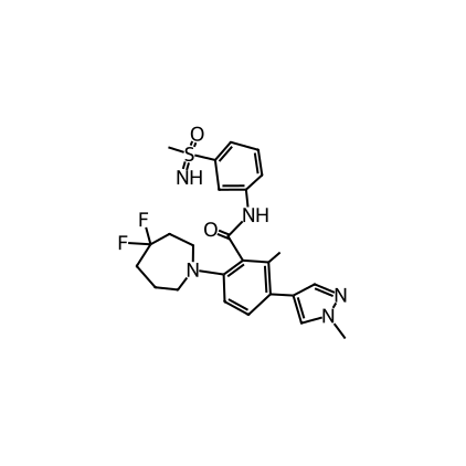 Cc1c(-c2cnn(C)c2)ccc(N2CCCC(F)(F)CC2)c1C(=O)Nc1cccc(S(C)(=N)=O)c1